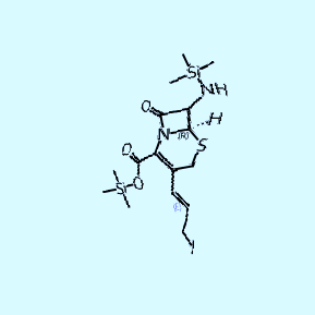 C[Si](C)(C)NC1C(=O)N2C(C(=O)O[Si](C)(C)C)=C(/C=C/CI)CS[C@H]12